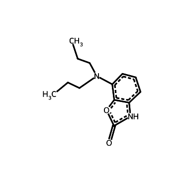 CCCN(CCC)c1cccc2[nH]c(=O)oc12